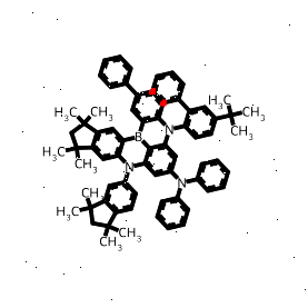 CC(C)(C)c1ccc(N2c3ccc(-c4ccccc4)cc3B3c4cc5c(cc4N(c4ccc6c(c4)C(C)(C)CC6(C)C)c4cc(N(c6ccccc6)c6ccccc6)cc2c43)C(C)(C)CC5(C)C)c(-c2ccccc2)c1